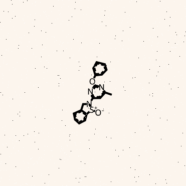 Cc1cc(N2Cc3ccccc3[S+]2[O-])nc(Oc2ccccc2)n1